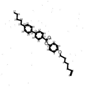 C=CCCCCCOc1ccc(OC(=O)c2ccc(-c3ccc(CCCCC)cc3)cc2)cc1